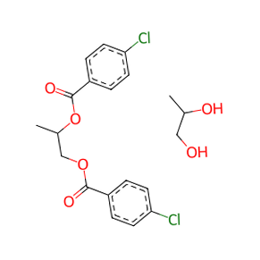 CC(COC(=O)c1ccc(Cl)cc1)OC(=O)c1ccc(Cl)cc1.CC(O)CO